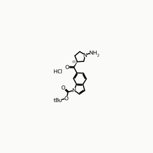 CC(C)(C)OC(=O)n1ccc2ccc(C(=O)[C@H]3CCN(N)C3)cc21.Cl